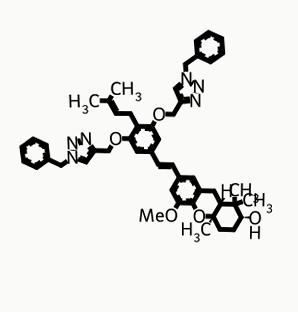 COc1cc(/C=C/c2cc(OCc3cn(Cc4ccccc4)nn3)c(CC=C(C)C)c(OCc3cn(Cc4ccccc4)nn3)c2)cc2c1O[C@]1(C)CC[C@@H](O)C(C)(C)[C@H]1C2